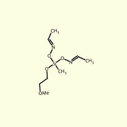 CC=NO[Si](C)(OCCOC)ON=CC